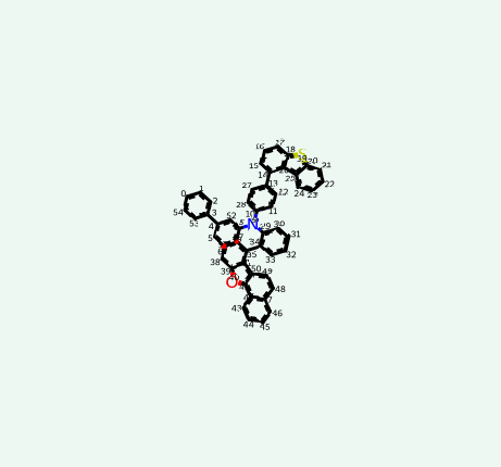 c1ccc(-c2cccc(N(c3ccc(-c4cccc5sc6ccccc6c45)cc3)c3ccccc3-c3cccc4oc5c6ccccc6ccc5c34)c2)cc1